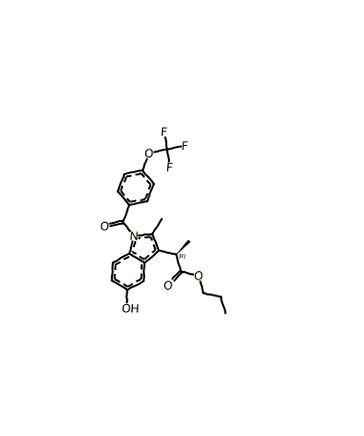 CCCOC(=O)[C@H](C)c1c(C)n(C(=O)c2ccc(OC(F)(F)F)cc2)c2ccc(O)cc12